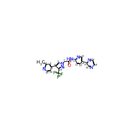 Cc1cc(-c2cn(CC(=O)Nc3ccc(-c4cnccn4)cn3)nc2C(F)(F)F)ccn1